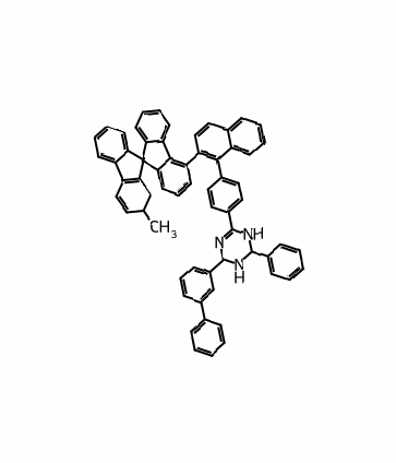 CC1C=CC2=C(C1)C1(c3ccccc32)c2ccccc2-c2c(-c3ccc4ccccc4c3-c3ccc(C4=NC(c5cccc(-c6ccccc6)c5)NC(c5ccccc5)N4)cc3)cccc21